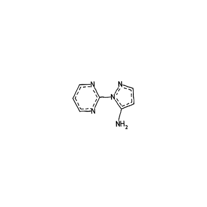 Nc1ccnn1-c1ncccn1